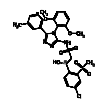 COc1cccc(OC)c1-n1c(NS(=O)(=O)C[C@@H](O)c2ccc(Cl)cc2S(C)(=O)=O)nnc1-c1cncc(C)c1